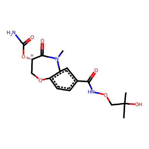 CN1C(=O)[C@@H](OC(N)=O)COc2ccc(C(=O)NOCC(C)(C)O)cc21